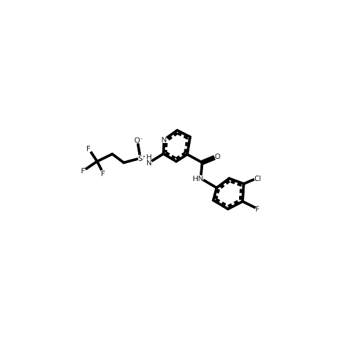 O=C(Nc1ccc(F)c(Cl)c1)c1ccnc(N[S+]([O-])CCC(F)(F)F)c1